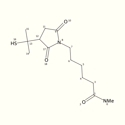 CNC(=O)CCCCCN1C(=O)CC(C(C)(C)S)C1=O